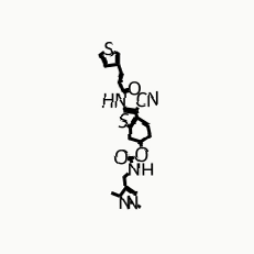 Cc1nn(C)cc1CNC(=O)OC1CCc2c(sc(NC(=O)C=Cc3ccsc3)c2C#N)C1